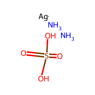 N.N.O=S(=O)(O)O.[Ag]